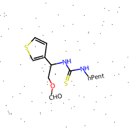 CCCCCNC(=S)NC(COC=O)c1ccsc1